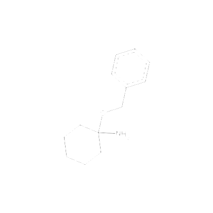 NC1(OCc2ccccc2)CCCCC1